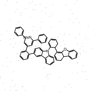 CN/C(=C\C(=C/Cc1ccccc1)c1ccccc1-c1ccc2c(c1)c1ccccc1n2C1=CC=CCC1C1=C2Oc3ccccc3C2CC=C1)c1ccccc1